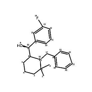 CC1(C)CCCC([C@@H](O)c2cccc(F)c2)N1Cc1ccccc1